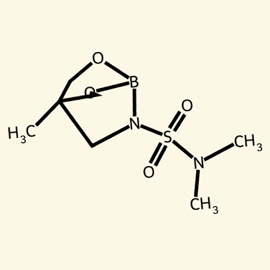 CN(C)S(=O)(=O)N1CC2(C)COB1OC2